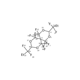 CCC(F)(F)C1OC(F)(F)C2(C(F)(F)O1)C(F)(F)OC(C(F)(F)CC)OC2(F)F